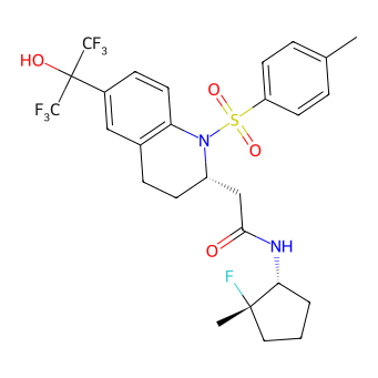 Cc1ccc(S(=O)(=O)N2c3ccc(C(O)(C(F)(F)F)C(F)(F)F)cc3CC[C@H]2CC(=O)N[C@@H]2CCC[C@]2(C)F)cc1